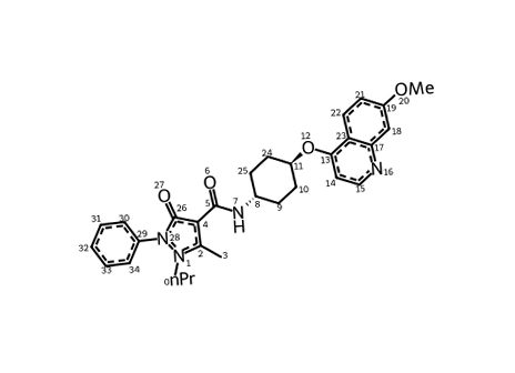 CCCn1c(C)c(C(=O)N[C@H]2CC[C@H](Oc3ccnc4cc(OC)ccc34)CC2)c(=O)n1-c1ccccc1